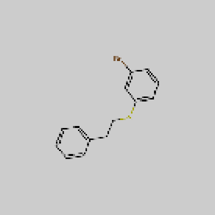 Brc1cccc(SCCc2ccccc2)c1